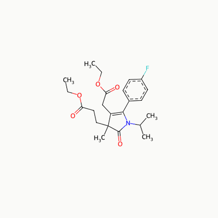 CCOC(=O)CCC1(C)C(=O)N(C(C)C)C(c2ccc(F)cc2)=C1CC(=O)OCC